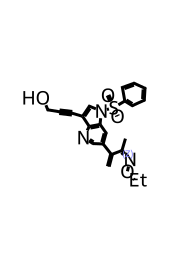 C=C(/C(C)=N\OCC)c1cnc2c(C#CCO)cn(S(=O)(=O)c3ccccc3)c2c1